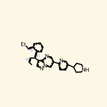 C\C=C/C(c1cnn2cc(-c3ccc(C4CCNCC4)cn3)cnc12)=c1/cccc/c1=C\CC